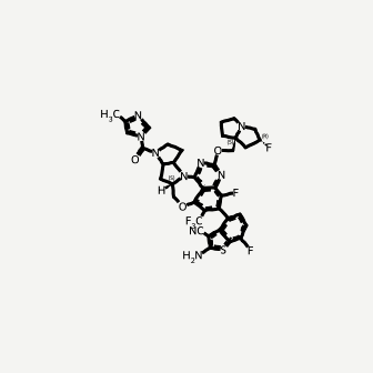 Cc1cn(C(=O)N2CCC3C2C[C@H]2COc4c(C(F)(F)F)c(-c5ccc(F)c6sc(N)c(C#N)c56)c(F)c5nc(OC[C@@]67CCCN6C[C@H](F)C7)nc(c45)N32)cn1